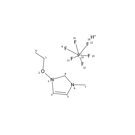 CCON1C=CN(C)C1.F[P-](F)(F)(F)(F)F.[H+]